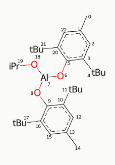 Cc1cc(C(C)(C)C)c([O][Al]([O]c2c(C(C)(C)C)cc(C)cc2C(C)(C)C)[O]C(C)C)c(C(C)(C)C)c1